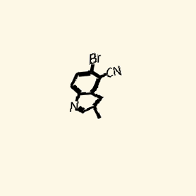 Cc1cnc2ccc(Br)c(C#N)c2c1